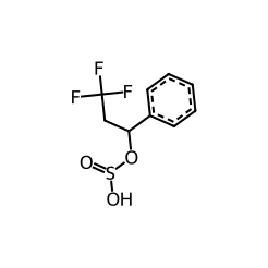 O=S(O)OC(CC(F)(F)F)c1ccccc1